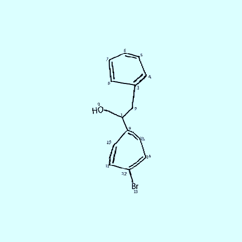 OC(Cc1ccccc1)c1ccc(Br)cc1